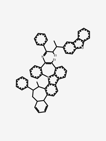 CCC1=C(/N=C(/c2ccccc2)C(CC)C(C)c2ccc3oc4ccccc4c3c2)c2ccccc2-n2c3c1cccc3c1ccc3c(c12)C(C)C(c1ccccc1)CC1C=CC=CC31